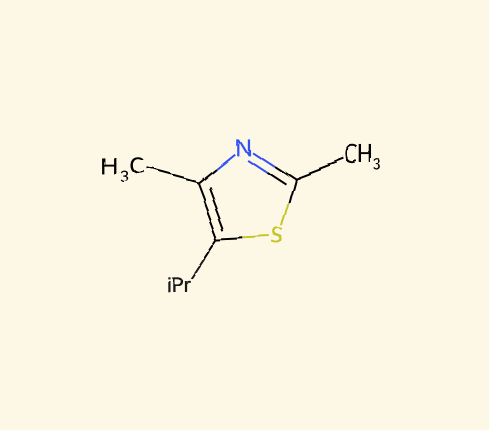 Cc1nc(C)c(C(C)C)s1